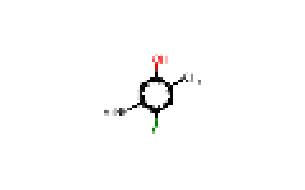 CC(=O)Nc1cc(O)c(C)cc1Cl